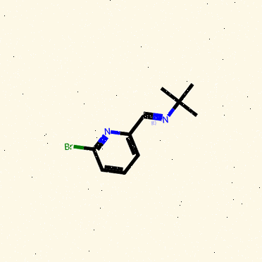 CC(C)(C)/N=C/c1cccc(Br)n1